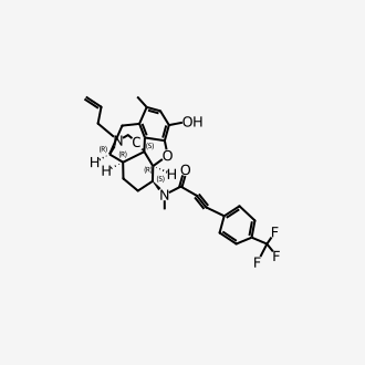 C=CCN1CC[C@]23c4c5c(C)cc(O)c4O[C@H]2[C@@H](N(C)C(=O)C#Cc2ccc(C(F)(F)F)cc2)CC[C@H]3[C@H]1C5